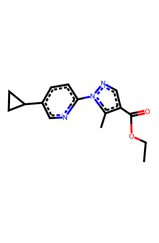 CCOC(=O)c1cnn(-c2ccc(C3CC3)cn2)c1C